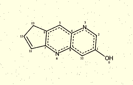 Oc1cnc2cc3c(nc2c1)C=CC3